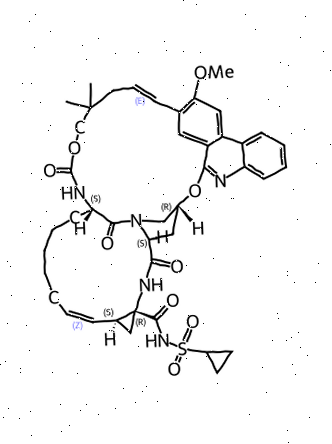 COc1cc2c3cc1/C=C/CC(C)(C)COC(=O)N[C@H]1CCCCC/C=C\[C@@H]4C[C@@]4(C(=O)NS(=O)(=O)C4CC4)NC(=O)[C@@H]4C[C@H](CN4C1=O)Oc3nc1ccccc12